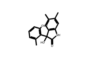 COc1cccc(C)c1C1(O)C(=O)Nc2cc(C)c(C)cc21